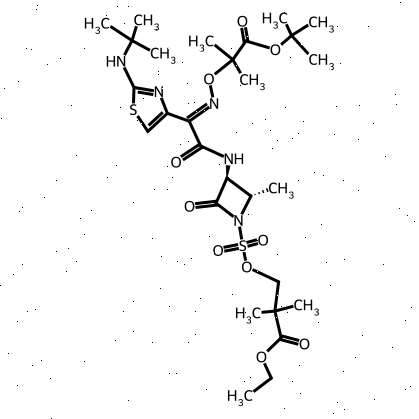 CCOC(=O)C(C)(C)COS(=O)(=O)N1C(=O)[C@@H](NC(=O)/C(=N/OC(C)(C)C(=O)OC(C)(C)C)c2csc(NC(C)(C)C)n2)[C@@H]1C